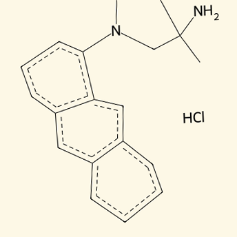 CN(CC(C)(C)N)c1cccc2cc3ccccc3cc12.Cl